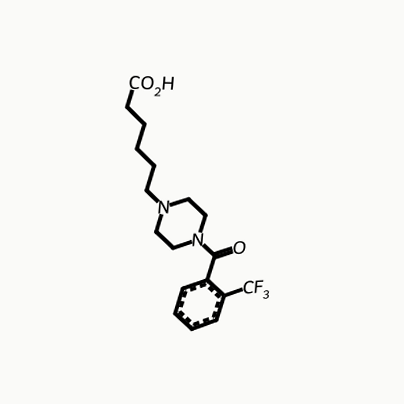 O=C(O)CCCCCN1CCN(C(=O)c2ccccc2C(F)(F)F)CC1